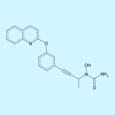 CC(C#Cc1cccc(Oc2ccc3ccccc3n2)c1)N(O)C(N)=O